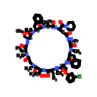 CC(C)C[C@H]1C(=O)N[C@@H](COC(C)(C)C)C(=O)N(C)[C@@H](Cc2ccccc2)C(=O)N(C)[C@@H](C(C)C)C(=O)NC(C(=O)N2CCCCC2)CC(=O)N[C@H](C(C)C)C(=O)N(C)[C@@H](Cc2ccccc2)C(=O)N[C@@H](COc2cccc(Cl)c2)C(=O)N(C)[C@@H](C)C(=O)N[C@@H]([C@@H](C)O)C(=O)N(C)CC(=O)N1C